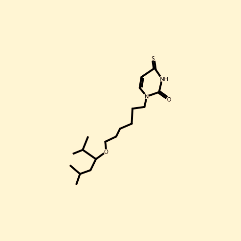 CC(C)CC(OCCCCCCn1ccc(=S)[nH]c1=O)C(C)C